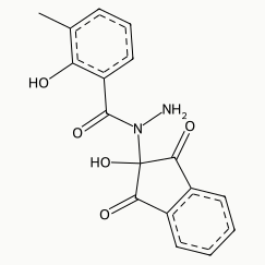 Cc1cccc(C(=O)N(N)C2(O)C(=O)c3ccccc3C2=O)c1O